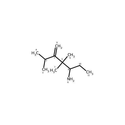 C=C(C(C)C)C(C)(C)C(N)CC